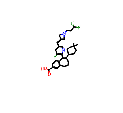 CC1(C)CCC(C2=C(c3ncc(C=C4CN(CCC(F)F)C4)cc3F)c3ccc(C(=O)O)cc3CCC2)CC1